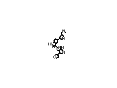 CN(C)Cc1cncc(-c2ccc3[nH]nc(-c4nc5c(-c6ccoc6)cncc5[nH]4)c3c2)c1